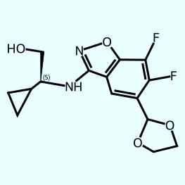 OC[C@@H](Nc1noc2c(F)c(F)c(C3OCCO3)cc12)C1CC1